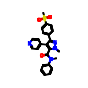 CN(C(=O)c1c(-c2ccncc2)c(-c2ccc(S(C)(=O)=O)cc2)nn1C)c1ccccc1